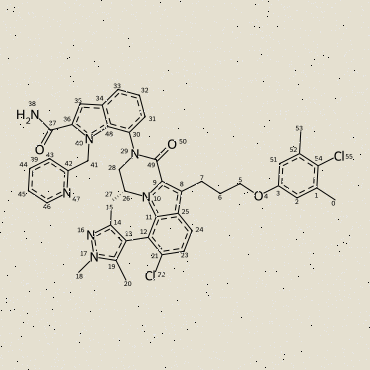 Cc1cc(OCCCc2c3n(c4c(-c5c(C)nn(C)c5C)c(Cl)ccc24)[C@H](C)CN(c2cccc4cc(C(N)=O)n(Cc5ccccn5)c24)C3=O)cc(C)c1Cl